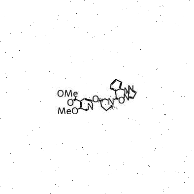 COC(=O)c1cc(O[C@@H]2CC[C@@H](C)N(C(=O)c3ccccc3-n3nccn3)C2)ncc1OC